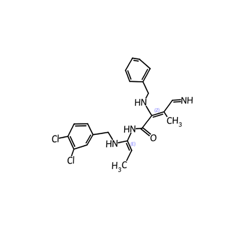 C/C=C(\NCc1ccc(Cl)c(Cl)c1)NC(=O)/C(NCc1ccccc1)=C(\C)C=N